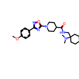 COc1ccc(-c2noc(N3CCC(C(=O)NCC4(N(C)C)CCCCC4)CC3)n2)cc1